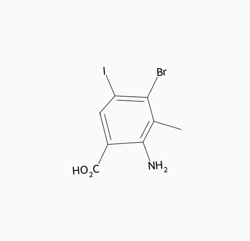 Cc1c(N)c(C(=O)O)cc(I)c1Br